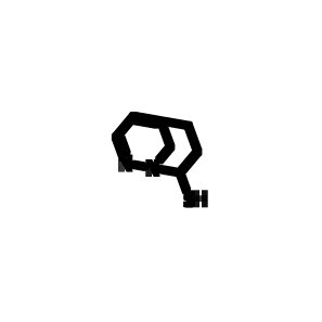 SC1CCC2=CC=NN1C2